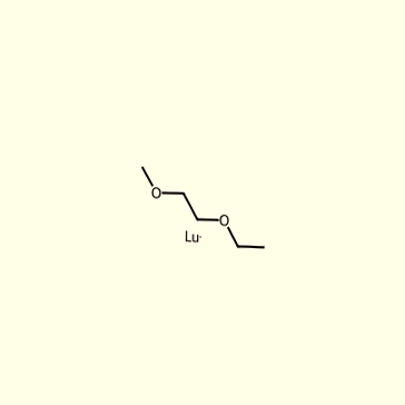 CCOCCOC.[Lu]